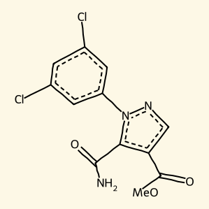 COC(=O)c1cnn(-c2cc(Cl)cc(Cl)c2)c1C(N)=O